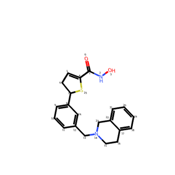 O=C(NO)C1=CCC(c2cccc(CN3CCc4ccccc4C3)c2)S1